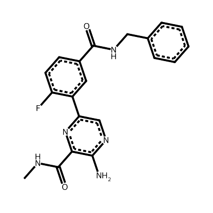 CNC(=O)c1nc(-c2cc(C(=O)NCc3ccccc3)ccc2F)cnc1N